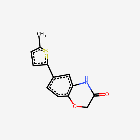 Cc1ccc(-c2ccc3c(c2)NC(=O)CO3)s1